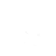 CC[N+](CC)(C(=O)C=O)c1ccc(F)cc1